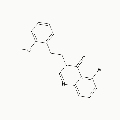 COc1ccccc1CCn1cnc2cccc(Br)c2c1=O